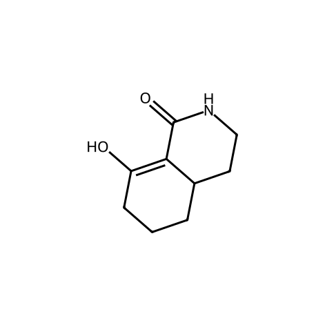 O=C1NCCC2CCCC(O)=C12